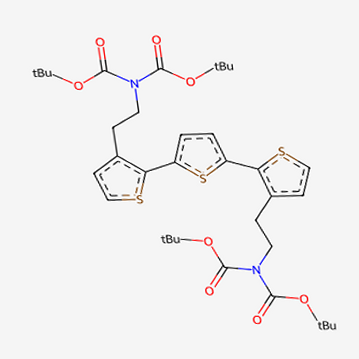 CC(C)(C)OC(=O)N(CCc1ccsc1-c1ccc(-c2sccc2CCN(C(=O)OC(C)(C)C)C(=O)OC(C)(C)C)s1)C(=O)OC(C)(C)C